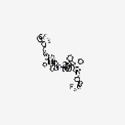 O=C(/C=C/C(=O)ON1C(=O)N(C2CCN(Cc3cccc(OC(F)(F)F)c3)CC2)C(c2ccccc2)c2ccccc21)ON1C(=O)N(C2CCN(Cc3cccc(OC(F)(F)F)c3)CC2)C(c2ccccc2)c2ccccc21